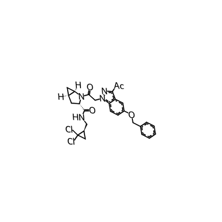 CC(=O)c1nn(CC(=O)N2[C@@H]3C[C@@H]3C[C@H]2C(=O)NC[C@H]2CC2(Cl)Cl)c2ccc(OCc3ccccc3)cc12